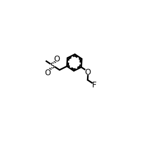 CS(=O)(=O)Cc1cccc(OCF)c1